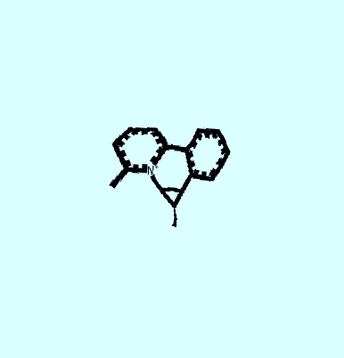 Cc1cccc2[n+]1C1C(c3ccccc3-2)[C@H]1C